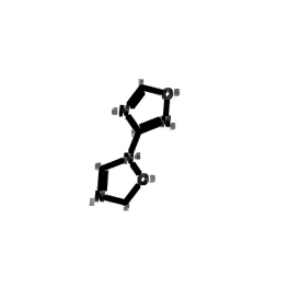 C1=NCON1c1ncon1